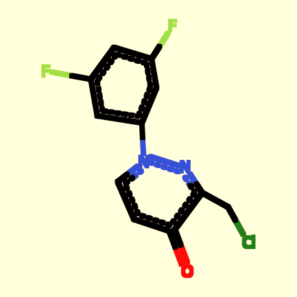 O=c1ccn(-c2cc(F)cc(F)c2)nc1CCl